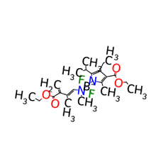 C=C(C(=O)OCC)/C(C)=C/N(C)[B-](F)(F)n1c(C)c(C(=O)OCC)c(CC)c1C(C)C